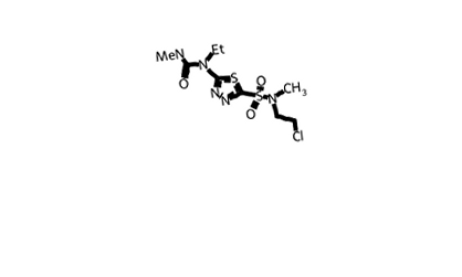 CCN(C(=O)NC)c1nnc(S(=O)(=O)N(C)CCCl)s1